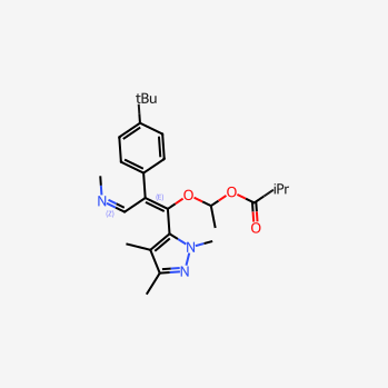 C/N=C\C(=C(\OC(C)OC(=O)C(C)C)c1c(C)c(C)nn1C)c1ccc(C(C)(C)C)cc1